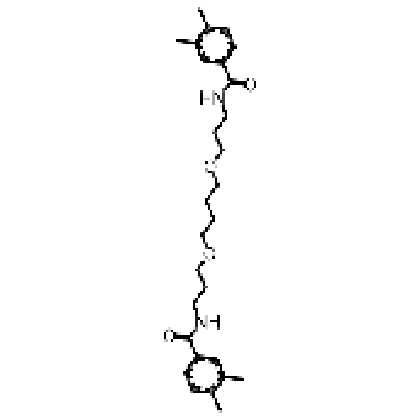 Cc1ccc(C(=O)NCCCOCCCCOCCCNC(=O)c2ccc(C)c(C)c2)cc1C